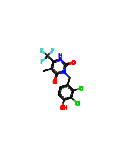 Cc1c(C(F)(F)F)[nH]c(=O)n(Cc2ccc(O)c(Cl)c2Cl)c1=O